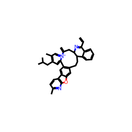 C=CC1=NC2CC(=C)[n+]3cc(C)c(CC(C)C)cc3-c3cc4c(cc3CCC2c2ccccc21)oc1nc(C)ccc14